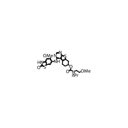 CCCN(CCOC)C(=O)OC1CCc2c(sc3ncnc(Nc4cc5sc(=O)[nH]c5cc4OC)c23)C1